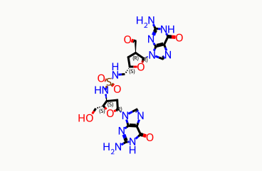 Nc1nc2c(ncn2[C@@H]2O[C@H](CNS(=O)(=O)N[C@H]3C[C@H](n4cnc5c(=O)[nH]c(N)nc54)O[C@@H]3CO)C[C@H]2C=O)c(=O)[nH]1